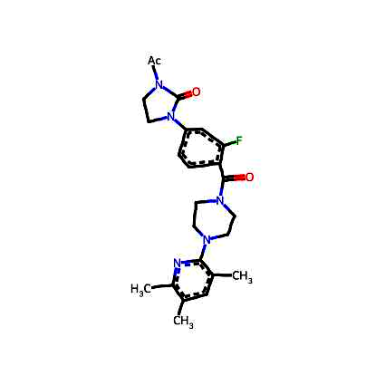 CC(=O)N1CCN(c2ccc(C(=O)N3CCN(c4nc(C)c(C)cc4C)CC3)c(F)c2)C1=O